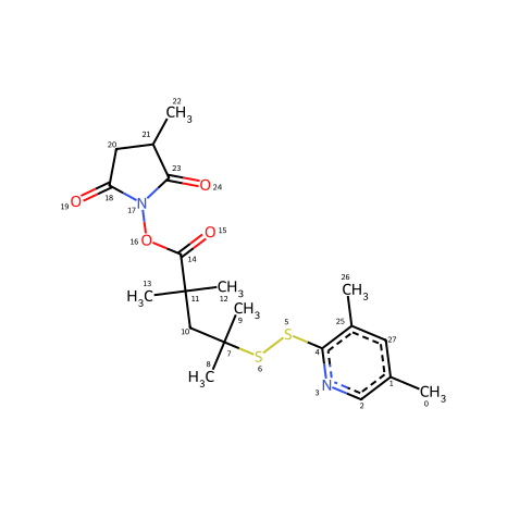 Cc1cnc(SSC(C)(C)CC(C)(C)C(=O)ON2C(=O)CC(C)C2=O)c(C)c1